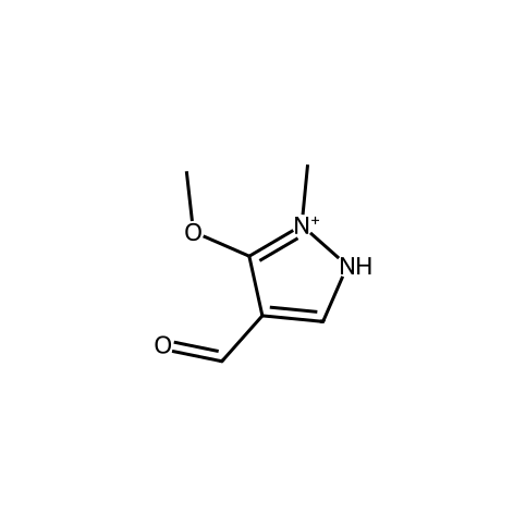 COc1c(C=O)c[nH][n+]1C